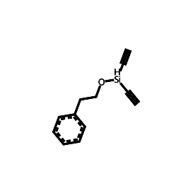 C#C[SiH](C#C)OCCc1ccccc1